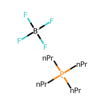 CCC[P](CCC)(CCC)CCC.F[B-](F)(F)F